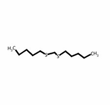 CCCCCSCSCCCCC